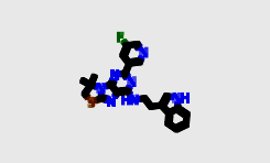 CC1(C)CSc2nc3c(NCCc4c[nH]c5ccccc45)nc(-c4cncc(F)c4)nc3n21